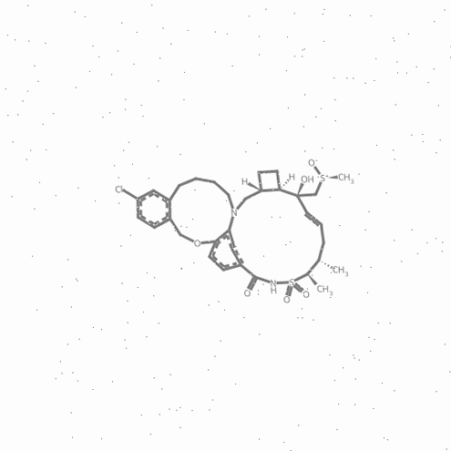 C[C@@H]1[C@@H](C)C/C=C/[C@@](O)(C[S@+](C)[O-])[C@@H]2CC[C@H]2CN2CCCCc3cc(Cl)ccc3COc3ccc(cc32)C(=O)NS1(=O)=O